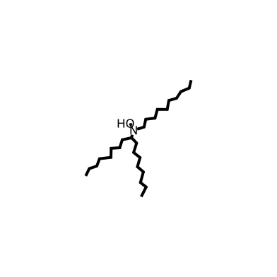 CCCCCCCCCCN(O)C(CCCCCCCC)CCCCCCCC